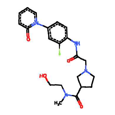 CN(CCO)C(=O)C1CCN(CC(=O)Nc2ccc(-n3ccccc3=O)cc2F)C1